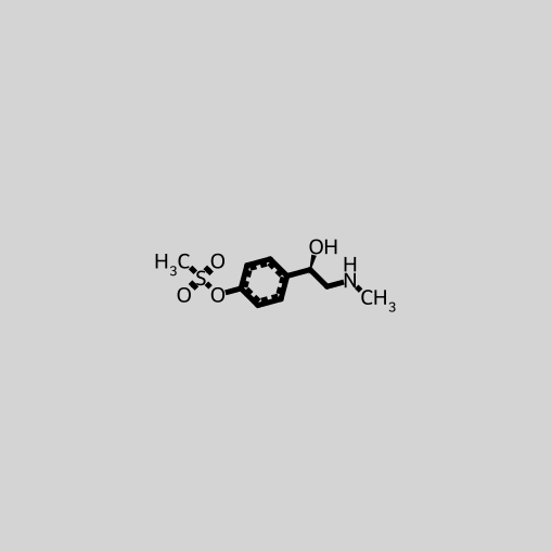 CNC[C@H](O)c1ccc(OS(C)(=O)=O)cc1